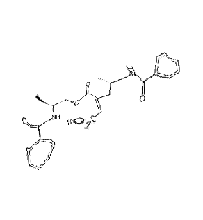 C[C@@H](COC(=O)C(=CC(=O)O)C[C@H](C)NC(=O)c1ccccc1)NC(=O)c1ccccc1